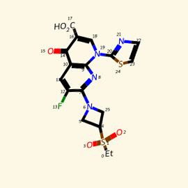 CCS(=O)(=O)C1CN(c2nc3c(cc2F)c(=O)c(C(=O)O)cn3-c2nccs2)C1